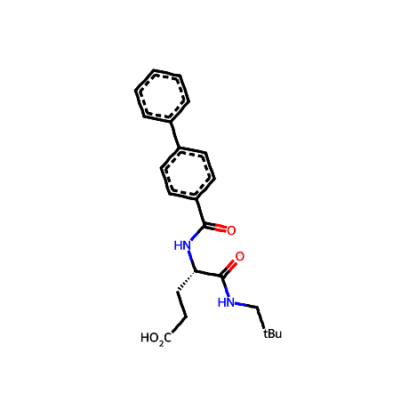 CC(C)(C)CNC(=O)[C@H](CCC(=O)O)NC(=O)c1ccc(-c2ccccc2)cc1